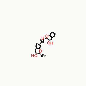 CCC[C@H]1Oc2cc(-c3coc([C@H]4Oc5ccccc5C[C@@H]4O)c3)ccc2C[C@@H]1O